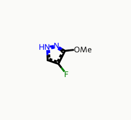 COc1n[nH]cc1F